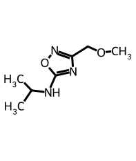 COCc1noc(NC(C)C)n1